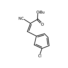 CC(C)COC(=O)C(C#N)=Cc1cccc(Cl)c1